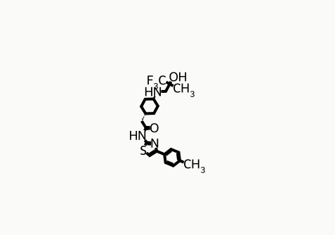 Cc1ccc(-c2csc(NC(=O)C[C@H]3CC[C@H](NCC(C)(O)C(F)(F)F)CC3)n2)cc1